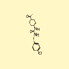 CC(=O)C1CCC(NC(=O)NCc2ccc(Cl)cc2)CC1